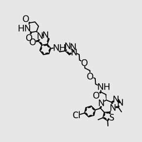 Cc1sc2c(c1C)C(c1ccc(Cl)cc1)=N[C@@H](CC(=O)NCCOCCOCCn1cc(CNc3cccc4c(=O)n(C5CCC(=O)NC5=O)ncc34)nn1)c1nnc(C)n1-2